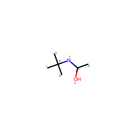 CC(O)[N]C(C)(C)C